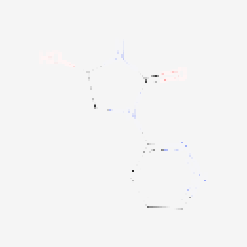 O=C1NC(O)CN1c1cccnn1